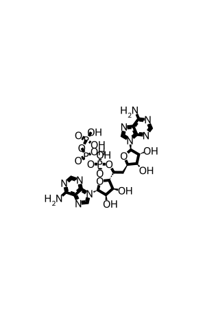 Nc1ncnc2c1ncn2[C@@H]1O[C@H](C(C[C@H]2O[C@@H](n3cnc4c(N)ncnc43)[C@H](O)[C@@H]2O)OP(=O)(O)OP(=O)(O)OP(=O)(O)O)[C@@H](O)[C@H]1O